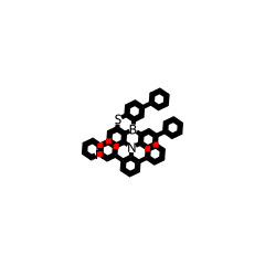 c1ccc(-c2ccc3c(c2)B2c4cc(-c5ccccc5)ccc4N(c4c(-c5ccccc5)cccc4-c4ccccc4)c4cc(-c5ccccn5)cc(c42)S3)cc1